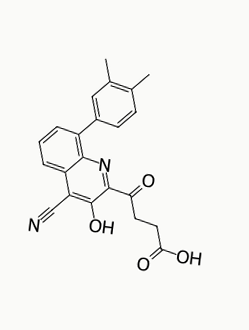 Cc1ccc(-c2cccc3c(C#N)c(O)c(C(=O)CCC(=O)O)nc23)cc1C